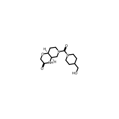 O=C1CO[C@H]2CCN(C(=O)N3CCC(CO)CC3)C[C@H]2N1